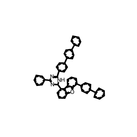 c1ccc(C2=NC(c3cccc4oc5c(-c6ccc(-c7ccccc7)cc6)cccc5c34)NC(c3ccc(-c4ccc(-c5ccccc5)cc4)cc3)=N2)cc1